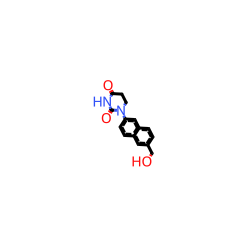 O=C1CCN(c2ccc3cc(CO)ccc3c2)C(=O)N1